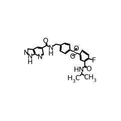 CC(C)NC(=O)c1cc(S(=O)(=O)c2ccc(CNC(=O)c3cnc4[nH]ncc4c3)cc2)ccc1F